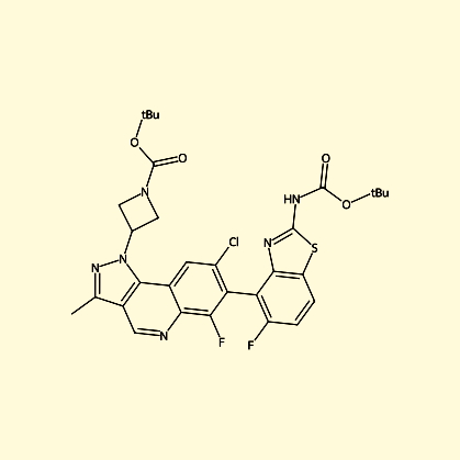 Cc1nn(C2CN(C(=O)OC(C)(C)C)C2)c2c1cnc1c(F)c(-c3c(F)ccc4sc(NC(=O)OC(C)(C)C)nc34)c(Cl)cc12